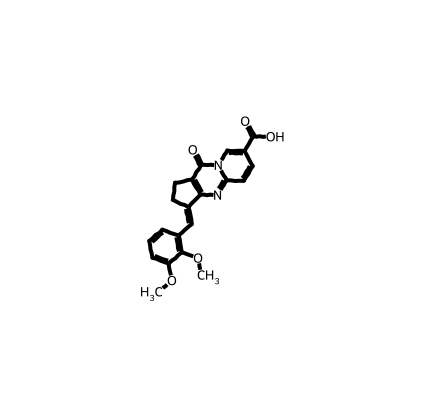 COc1cccc(C=C2CCc3c2nc2ccc(C(=O)O)cn2c3=O)c1OC